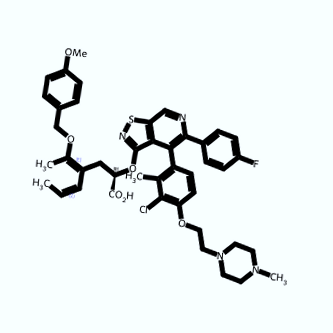 C/C=C\C(C[C@@H](Oc1nsc2cnc(-c3ccc(F)cc3)c(-c3ccc(OCCN4CCN(C)CC4)c(Cl)c3C)c12)C(=O)O)=C(/C)OCc1ccc(OC)cc1